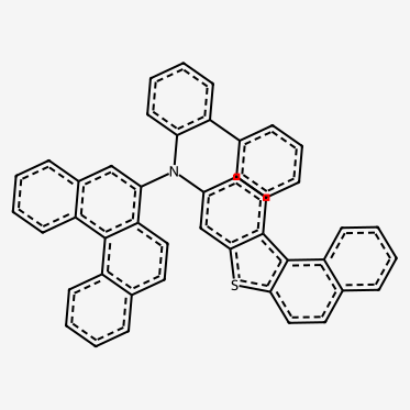 c1ccc(-c2ccccc2N(c2ccc3c(c2)sc2ccc4ccccc4c23)c2cc3ccccc3c3c2ccc2ccccc23)cc1